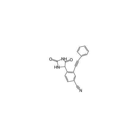 N#Cc1ccc(C2NC(=O)NC2=O)c(C#Cc2ccccc2)c1